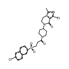 CCc1nc(C)n2c1C(=O)N(C1CCN(C(=O)CCS(=O)(=O)c3ccc4cc(Cl)ccc4c3)CC1)CC2